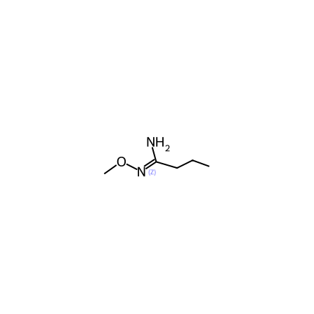 CCC/C(N)=N/OC